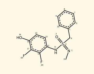 CN=S(=O)(Cc1ccccc1)Nc1ccc(O)c(F)c1F